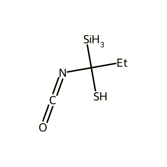 CCC([SiH3])(S)N=C=O